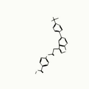 O=C(Cc1c[nH]c2ccc(-c3ccc(C(F)(F)F)cc3)cc12)Nc1ccc(C(=O)NO)cc1